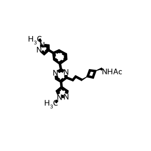 CC(=O)NC[C@H]1C[C@@H](CCCc2nc(-c3cccc(-c4cnn(C)c4)c3)ncc2-c2cnn(C)c2)C1